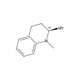 CCC[C@@H]1CCc2ccccc2N1C